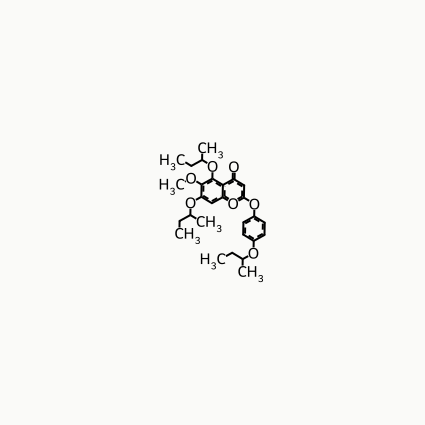 CCC(C)Oc1ccc(Oc2cc(=O)c3c(OC(C)CC)c(OC)c(OC(C)CC)cc3o2)cc1